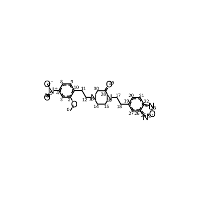 COc1cc([N+](=O)[O-])ccc1CCN1CCN(CCc2ccc3nonc3c2)C(=O)C1